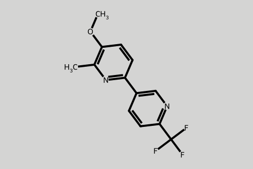 COc1ccc(-c2ccc(C(F)(F)F)nc2)nc1C